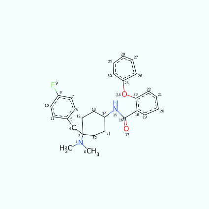 CN(C)C1(Cc2ccc(F)cc2)CCC(NC(=O)c2ccccc2Oc2ccccc2)CC1